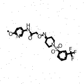 COc1ccc(NC(=O)CON=C2CCN(S(=O)(=O)c3cccc(C(F)(F)F)c3)CC2)cn1